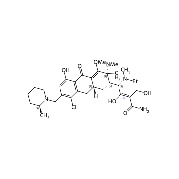 CCN(C)[C@H](/C(O)=C(\CO)C(N)=O)[C@@H]1C[C@@H]2Cc3c(Cl)c(CN4CCCC[C@@H]4C)cc(O)c3C(=O)C2=C(OC)[C@]1(C)NC